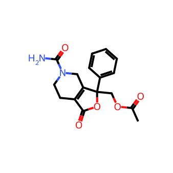 CC(=O)OCC1(c2ccccc2)OC(=O)C2=C1CN(C(N)=O)CC2